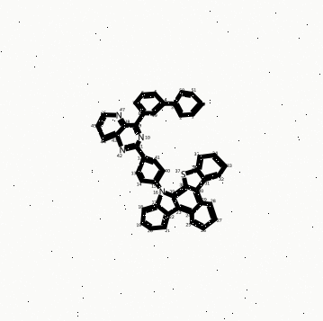 c1ccc(-c2cccc(-c3nc(-c4ccc(-n5c6ccccc6c6c7ccccc7c7c8ccccc8sc7c65)cc4)nc4cccnc34)c2)cc1